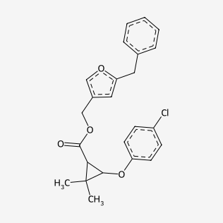 CC1(C)C(Oc2ccc(Cl)cc2)C1C(=O)OCc1coc(Cc2ccccc2)c1